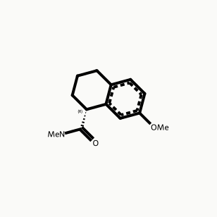 CNC(=O)[C@@H]1CCCc2ccc(OC)cc21